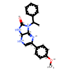 CC(c1ccccc1)N1C(=O)NC2NC=C(c3ccc(OC(F)(F)F)cc3)N=C21